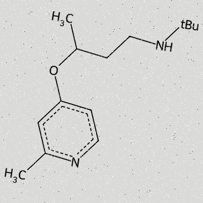 Cc1cc(OC(C)CCNC(C)(C)C)ccn1